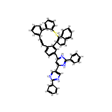 C1=C\c2ccc(-c3cc(-c4cnc(-c5ccccc5)nc4)nc(-c4ccccc4)n3)cc2-c2ccc3ccccc3c2Sc2ccccc2-c2ccccc2/1